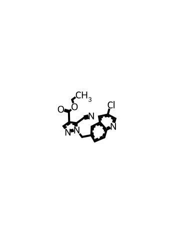 CCOC(=O)c1cnn(Cc2ccc3ncc(Cl)cc3c2)c1C#N